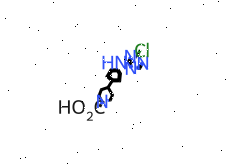 O=C(O)N1CCC(c2ccc(Nc3ncnc(Cl)n3)cc2)CC1